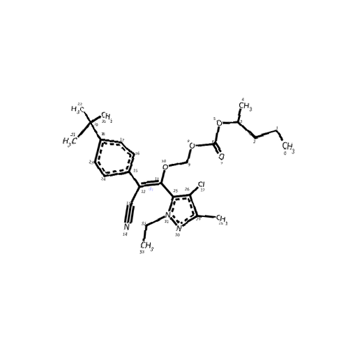 CCCC(C)OC(=O)OCO/C(=C(/C#N)c1ccc(C(C)(C)C)cc1)c1c(Cl)c(C)nn1CC